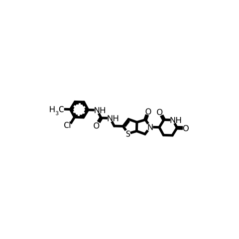 Cc1ccc(NC(=O)NCC2=CC3C(=O)N(C4CCC(=O)NC4=O)CC3S2)cc1Cl